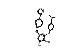 CN(C)c1ccc(Oc2nc(Nc3ccc(-c4cnco4)cc3)cc(N)c2C#N)cc1